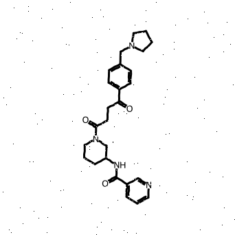 O=C(CCC(=O)N1CCCC(NC(=O)c2cccnc2)C1)c1ccc(CN2CCCC2)cc1